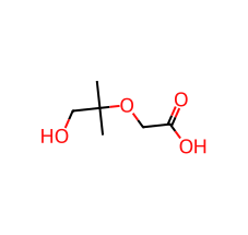 CC(C)(CO)OCC(=O)O